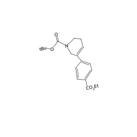 CCOC(=O)c1ccc(C2=CCCN(C(=O)OC(C)(C)C)C2)cc1